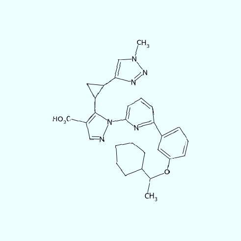 CC(Oc1cccc(-c2cccc(-n3ncc(C(=O)O)c3C3CC3c3cn(C)nn3)n2)c1)C1CCCCC1